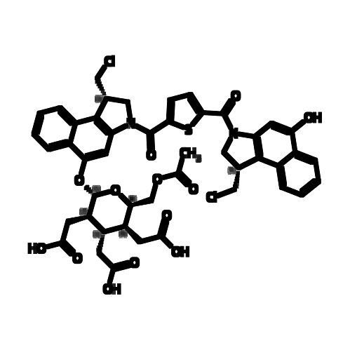 CC(=O)OC[C@@H]1O[C@@H](Oc2cc3c(c4ccccc24)[C@H](CCl)CN3C(=O)c2ccc(C(=O)N3C[C@@H](CCl)c4c3cc(O)c3ccccc43)s2)[C@H](CC(=O)O)[C@@H](CC(=O)O)[C@@H]1CC(=O)O